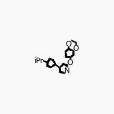 CC(C)c1ccc(-c2ccnc(Oc3ccc4c(c3)OCCO4)c2)cc1